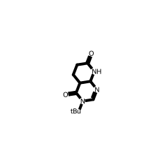 CC(C)(C)N1C=NC2NC(=O)CCC2C1=O